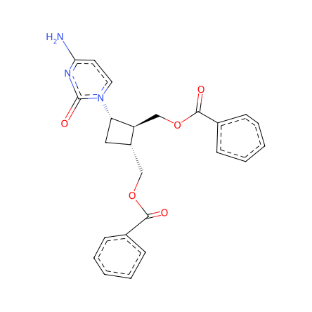 Nc1ccn([C@H]2C[C@@H](COC(=O)c3ccccc3)[C@@H]2COC(=O)c2ccccc2)c(=O)n1